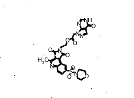 Cc1nc2ccc(S(=O)(=O)N3CCOCC3)cc2c2c1C(=O)N(CCOC(=O)Cn1ncc3c(=O)[nH]cnc31)C2=O